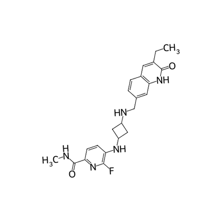 CCc1cc2ccc(CNC3CC(Nc4ccc(C(=O)NC)nc4F)C3)cc2[nH]c1=O